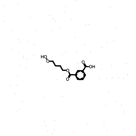 O=C(O)c1cccc(C(=O)OCCCCOO)c1